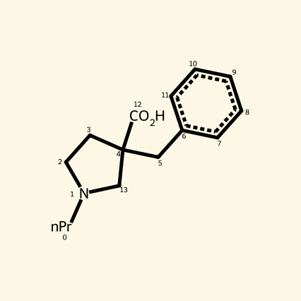 CCCN1CCC(Cc2ccccc2)(C(=O)O)C1